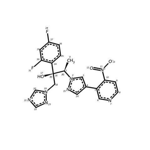 C[C@@H](n1cc(-c2cnccc2[N+](=O)[O-])cn1)[C@](O)(Cn1cncn1)c1ccc(F)cc1F